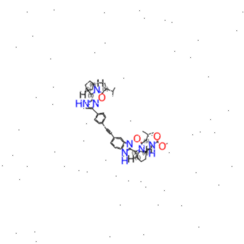 COC(=O)N[C@H](C(=O)N1[C@@H]2CC[C@@H](C2)[C@H]1c1nc2cc(C#Cc3ccc(-c4c[nH]c([C@@H]5[C@H]6CC[C@H](C6)N5C(=O)[C@@H](C)C(C)C)n4)cc3)ccc2[nH]1)C(C)C